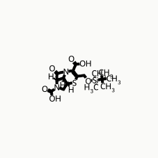 CC(C)(C)[Si](C)(C)OCC1=C(C(=O)O)N2C(=O)[C@@H]3[C@H]2[C@@H](CN3C(=O)O)S1